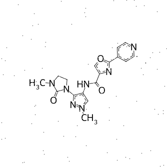 CN1CCN(c2nn(C)cc2NC(=O)c2coc(-c3c[c]ncc3)n2)C1=O